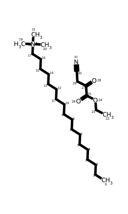 CCCCCCCCCCCCCCCCCC[N+](C)(C)C.CCOC(=O)C(=O)CC#N